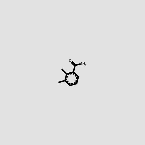 BC(=O)c1cccc(C)c1C